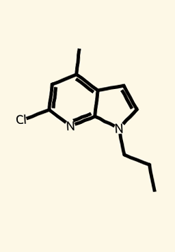 CCCn1ccc2c(C)cc(Cl)nc21